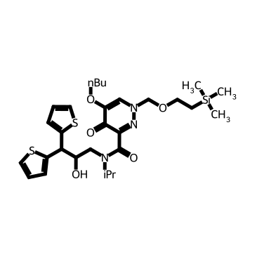 CCCCOc1cn(COCC[Si](C)(C)C)nc(C(=O)N(CC(O)C(c2cccs2)c2cccs2)C(C)C)c1=O